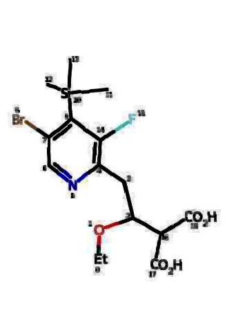 CCOC(Cc1ncc(Br)c([Si](C)(C)C)c1F)C(C(=O)O)C(=O)O